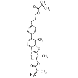 C=C(C)C(=O)OCCCc1ccc(-c2ccc3c(oc4c(C)c(OC(=O)C(=C)C)ccc43)c2C(F)(F)F)cc1